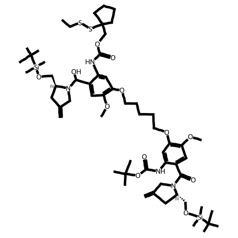 C=C1C[C@@H](CO[Si](C)(C)C(C)(C)C)N(C(=O)c2cc(OC)c(OCCCCCOc3cc(NC(=O)OCC4(SSCC)CCCC4)c(C(O)N4CC(=C)C[C@H]4CO[Si](C)(C)C(C)(C)C)cc3OC)cc2NC(=O)OC(C)(C)C)C1